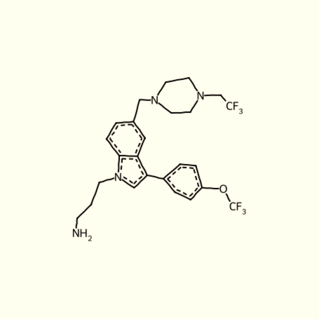 NCCCn1cc(-c2ccc(OC(F)(F)F)cc2)c2cc(CN3CCN(CC(F)(F)F)CC3)ccc21